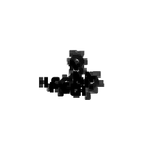 CC(N)CC(CN(Cc1ccccn1)Cc1ccccn1)C(C)(C)C